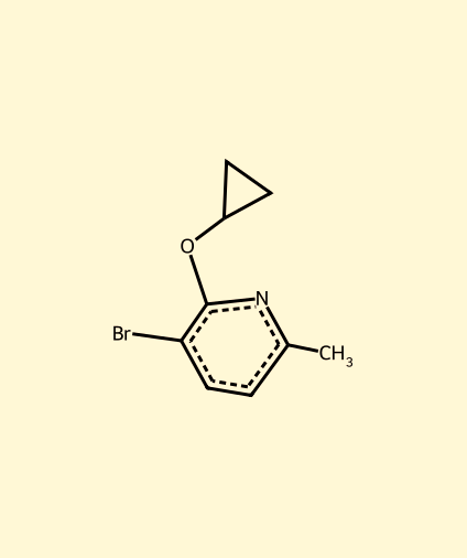 Cc1ccc(Br)c(OC2CC2)n1